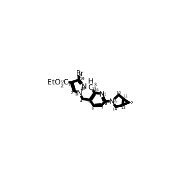 CCOC(=O)c1cn(Cc2ccc(N3CC4CC4C3)nc2C)nc1Br